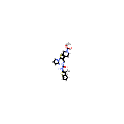 CC(=O)c1c(NC(=O)NCc2c(N3CCCC3)sc3c2CCN(C(=O)OC(C)(C)C)C3)sc2c1CCC2